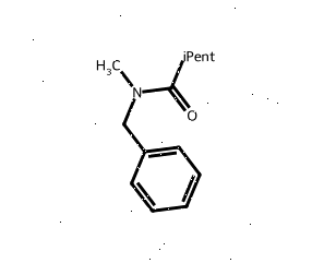 CCCC(C)C(=O)N(C)Cc1ccccc1